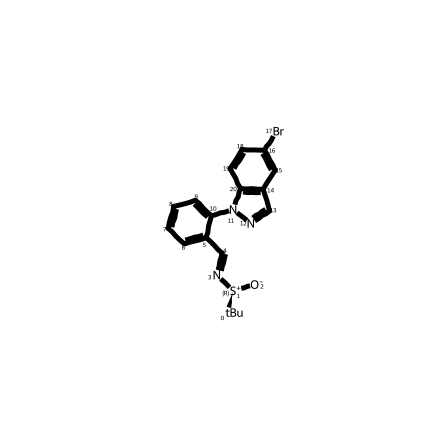 CC(C)(C)[S@+]([O-])N=Cc1ccccc1-n1ncc2cc(Br)ccc21